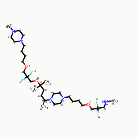 CC(C)N1CCN(CCCCOCC(F)(F)COC(C)(C)CC[C@H](C)N2CCN(CCCCOCC(F)(F)CNC(C)(C)C)CC2)CC1